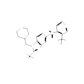 CC(C)(C)c1nc2cc(S(=O)(=O)c3ccncc3C(F)(F)F)ccc2n1CC1CCOCC1